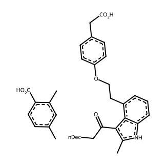 CCCCCCCCCCCC(=O)c1c(C)[nH]c2cccc(CCOc3ccc(CC(=O)O)cc3)c12.Cc1ccc(C(=O)O)c(C)c1